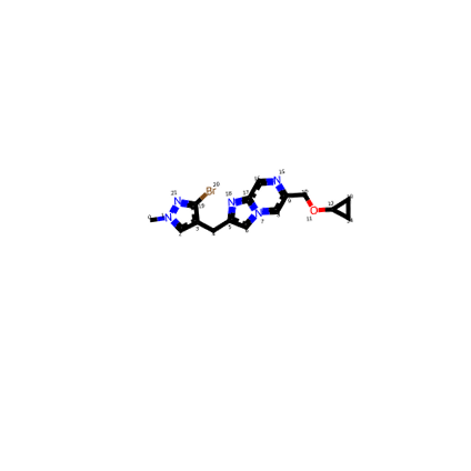 Cn1cc(Cc2cn3cc(COC4CC4)ncc3n2)c(Br)n1